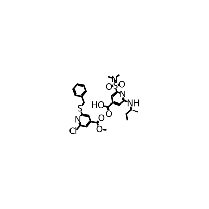 CC[C@H](C)Nc1cc(C(=O)O)cc(S(=O)(=O)N(C)C)n1.COC(=O)c1cc(Cl)nc(SCc2ccccc2)c1